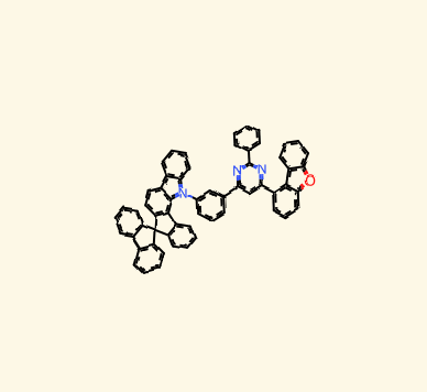 c1ccc(-c2nc(-c3cccc(-n4c5ccccc5c5ccc6c(c54)-c4ccccc4C64c5ccccc5-c5ccccc54)c3)cc(-c3cccc4oc5ccccc5c34)n2)cc1